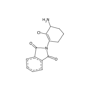 NC1CCCC(N2C(=O)c3ccccc3C2=O)=C1Cl